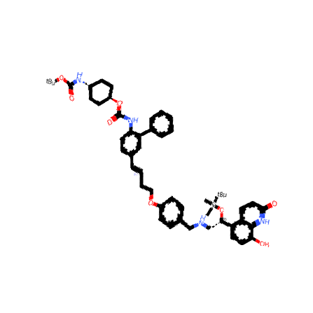 CC(C)(C)OC(=O)N[C@H]1CC[C@H](OC(=O)Nc2ccc(/C=C/CCOc3ccc(CNC[C@H](O[Si](C)(C)C(C)(C)C)c4ccc(O)c5[nH]c(=O)ccc45)cc3)cc2-c2ccccc2)CC1